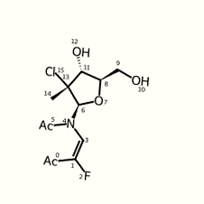 CC(=O)/C(F)=C\N(C(C)=O)[C@@H]1O[C@H](CO)[C@@H](O)[C@@]1(C)Cl